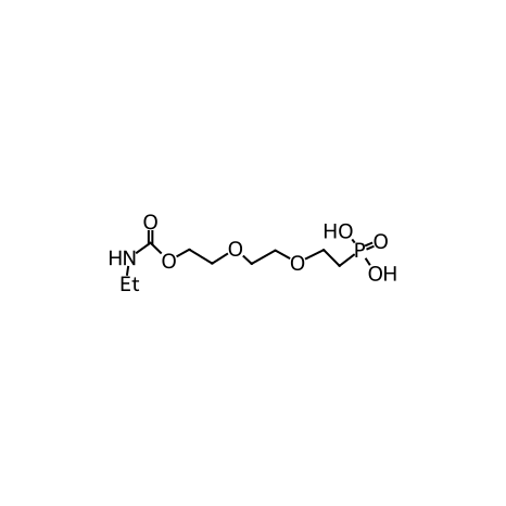 CCNC(=O)OCCOCCOCCP(=O)(O)O